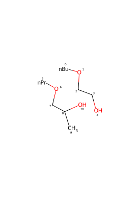 CCCCOCCO.CCCOCC(C)O